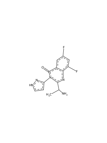 CC(N)c1nc2c(F)cc(F)cc2c(=O)n1-c1cc[nH]n1